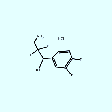 Cl.NCC(F)(F)C(O)c1ccc(F)c(F)c1